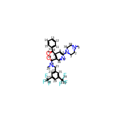 CN1CCN(c2cc(C(=O)c3ccccc3)c(C(=O)N(C)Cc3cc(C(F)(F)F)cc(C(F)(F)F)c3)cn2)CC1